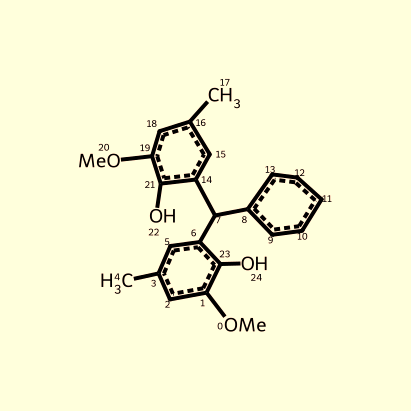 COc1cc(C)cc(C(c2ccccc2)c2cc(C)cc(OC)c2O)c1O